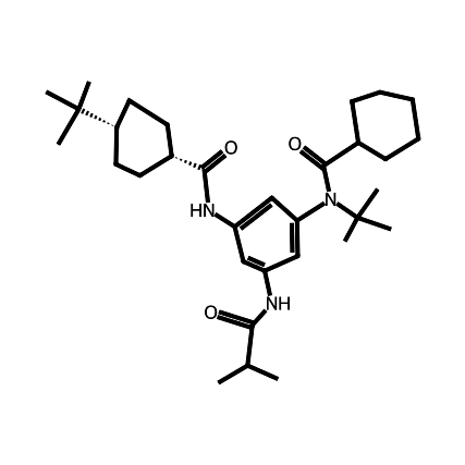 CC(C)C(=O)Nc1cc(NC(=O)[C@H]2CC[C@@H](C(C)(C)C)CC2)cc(N(C(=O)C2CCCCC2)C(C)(C)C)c1